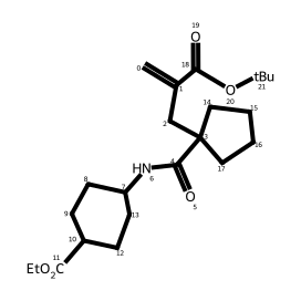 C=C(CC1(C(=O)NC2CCC(C(=O)OCC)CC2)CCCC1)C(=O)OC(C)(C)C